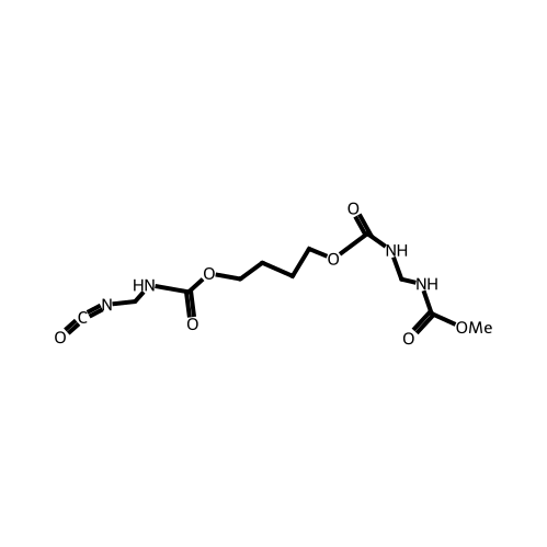 COC(=O)NCNC(=O)OCCCCOC(=O)NCN=C=O